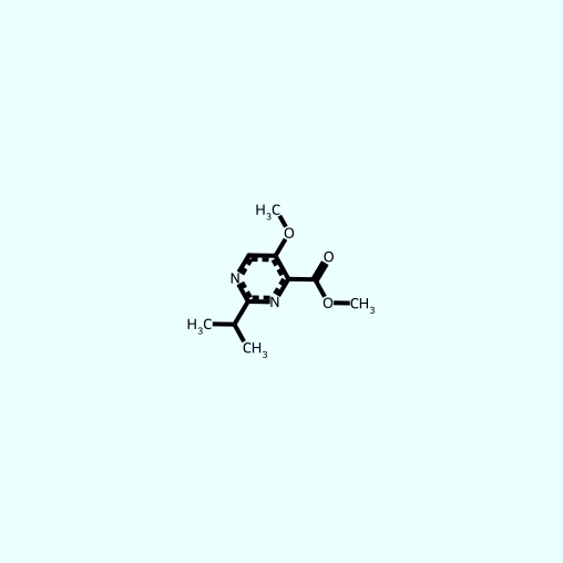 COC(=O)c1nc(C(C)C)ncc1OC